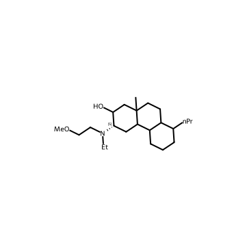 CCCC1CCCC2C1CCC1(C)CC(O)[C@@H](N(CC)CCOC)CC21